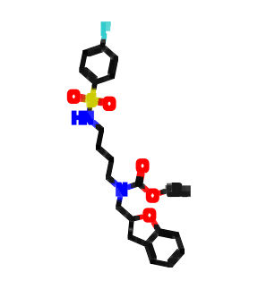 CC(C)(C)OC(=O)N(CCCCNS(=O)(=O)c1ccc(F)cc1)CC1Cc2ccccc2O1